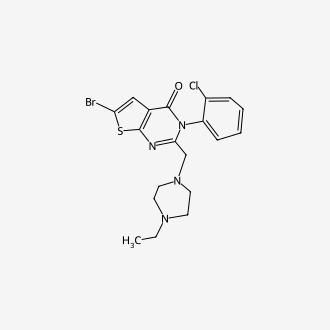 CCN1CCN(Cc2nc3sc(Br)cc3c(=O)n2-c2ccccc2Cl)CC1